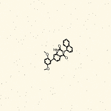 COc1ccc(OC)c(-c2ccc3c(=O)n(-c4cccc5ccccc45)c(=O)[nH]c3c2)c1